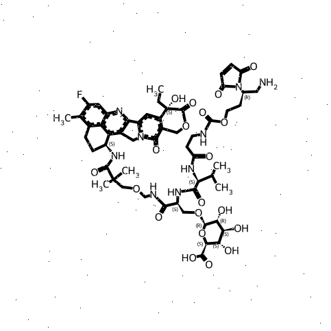 CC[C@@]1(O)C(=O)OCc2c1cc1n(c2=O)Cc2c-1nc1cc(F)c(C)c3c1c2[C@@H](NC(=O)C(C)(C)COCNC(=O)[C@H](CO[C@@H]1O[C@H](C(=O)O)[C@@H](O)[C@H](O)[C@H]1O)NC(=O)[C@@H](NC(=O)CCNC(=O)OCC[C@H](CN)N1C(=O)C=CC1=O)C(C)C)CC3